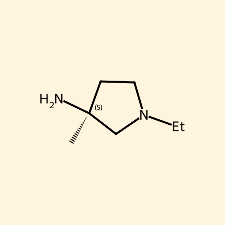 CCN1CC[C@](C)(N)C1